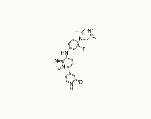 C[C@@H]1CN(C)[C@@H](C)CN1c1ccc(Nc2ccc(-c3cc[nH]c(=O)c3)n3ccnc23)cc1F